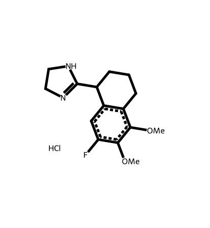 COc1c(F)cc2c(c1OC)CCCC2C1=NCCN1.Cl